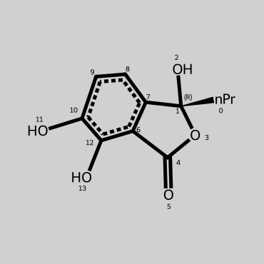 CCC[C@@]1(O)OC(=O)c2c1ccc(O)c2O